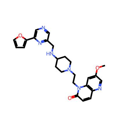 COc1cnc2ccc(=O)n(CCN3CCC(NCc4cncc(-c5ccco5)n4)CC3)c2c1